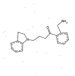 NCc1ccccc1C(=O)CCCN1CCc2ccccc21